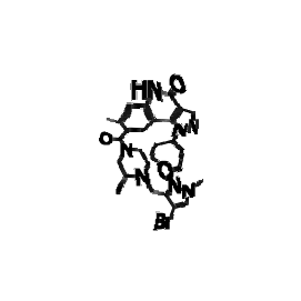 Cc1cc2[nH]c(=O)c3cnn(C4CCOCC4)c3c2cc1C(=O)N1CCN(Cc2nn(C)cc2Br)[C@@H](C)C1